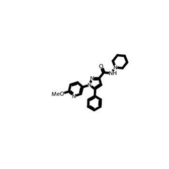 COc1ccc(-n2nc(C(=O)NN3CCCCC3)cc2-c2ccccc2)cn1